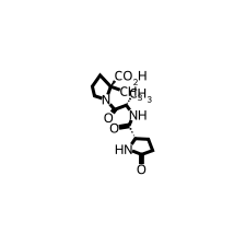 C[C@H](NC(=O)[C@@H]1CCC(=O)N1)C(=O)N1CCC[C@@]1(C)C(=O)O